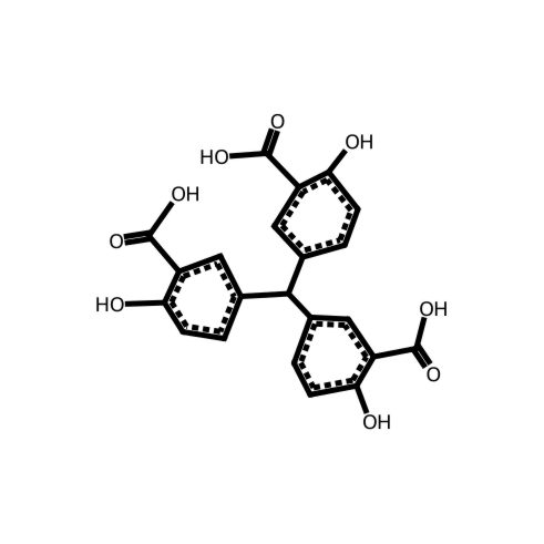 O=C(O)c1cc(C(c2ccc(O)c(C(=O)O)c2)c2ccc(O)c(C(=O)O)c2)ccc1O